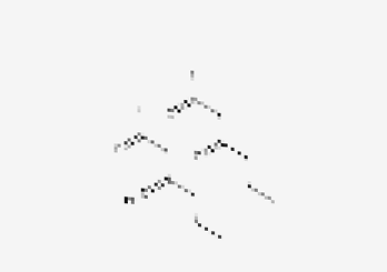 CCCC(=O)CC(C)=O.CCCC(=O)CC(C)=O.[Pt]